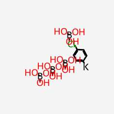 Clc1cc[c]([K])cc1.OB(O)O.OB(O)O.OB(O)O.OB(O)O